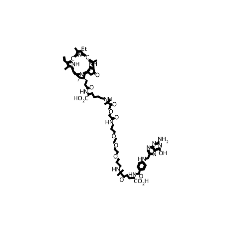 C=Cc1c(C)c2cc3nc(c4c5[nH]c(cc6nc(cc1[nH]2)C(C)=C6CC)c(C)c5C(=O)C4)[C@@H](CCC(=O)NC(CCCCNC(C)(C)C(=O)COCC(=O)NCCCOCCOCCOCCCNC(C)(C)C(=O)CC[C@H](NC(=O)c1ccc(NCc2cnc4nc(N)nc(O)c4n2)cc1)C(=O)O)C(=O)O)[C@@H]3C